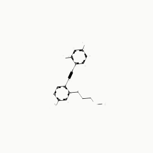 CCCOCCCc1cc(C(=O)O)ccc1C#Cc1ccc(O)cc1C(F)(F)F